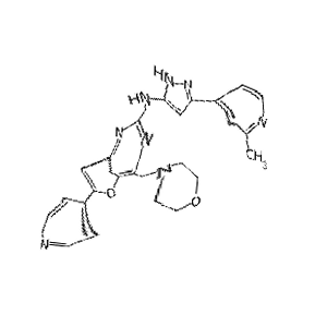 Cc1cc(-c2cc(Nc3nc(N4CCOCC4)c4oc(-c5ccncc5)cc4n3)[nH]n2)ccn1